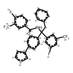 O=C(NC(Cc1ccccc1)(c1ccc(-c2ccsc2)cc1)c1cc(F)cc(C(F)(F)F)c1)c1ccc(F)c(C(F)(F)F)c1